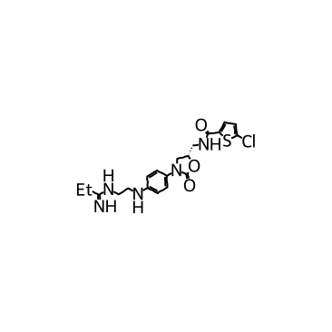 CCC(=N)NCCNc1ccc(N2C[C@H](CNC(=O)c3ccc(Cl)s3)OC2=O)cc1